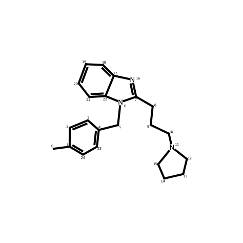 Cc1ccc(Cn2c(CCCN3CCCC3)nc3ccccc32)cc1